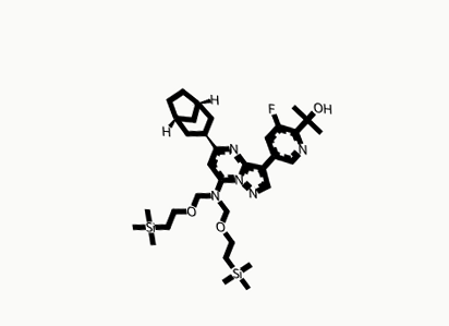 CC(C)(O)c1ncc(-c2cnn3c(N(COCC[Si](C)(C)C)COCC[Si](C)(C)C)cc([C@H]4C[C@@H]5CC[C@@H](C5)C4)nc23)cc1F